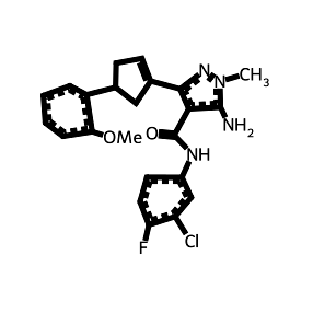 COc1ccccc1C1CC=C(c2nn(C)c(N)c2C(=O)Nc2ccc(F)c(Cl)c2)C1